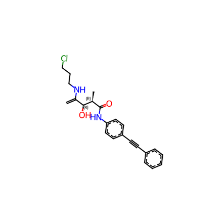 C=C(NCCCCl)[C@H](O)[C@@H](C)C(=O)Nc1ccc(C#Cc2ccccc2)cc1